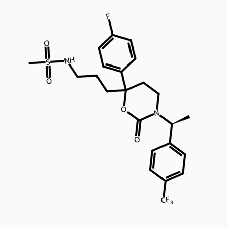 C[C@@H](c1ccc(C(F)(F)F)cc1)N1CCC(CCCNS(C)(=O)=O)(c2ccc(F)cc2)OC1=O